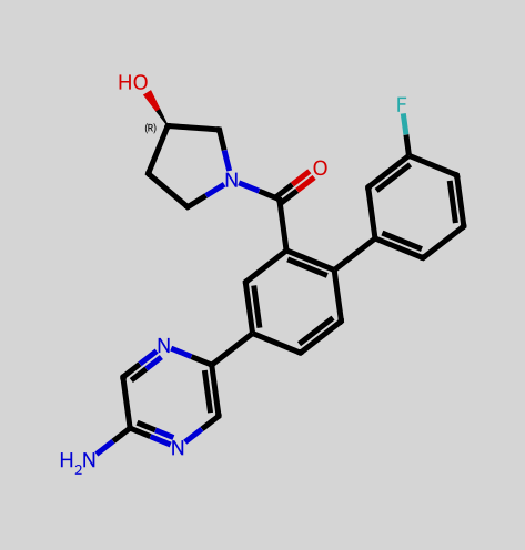 Nc1cnc(-c2ccc(-c3cccc(F)c3)c(C(=O)N3CC[C@@H](O)C3)c2)cn1